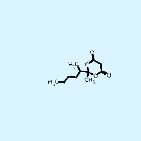 CCCCC(C)C1(C)OC(=O)CC(=O)O1